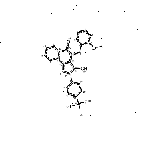 COc1ccccc1Cn1c(=O)c2ccccc2c2nn(-c3ccc(C(F)(F)F)cc3)c(O)c21